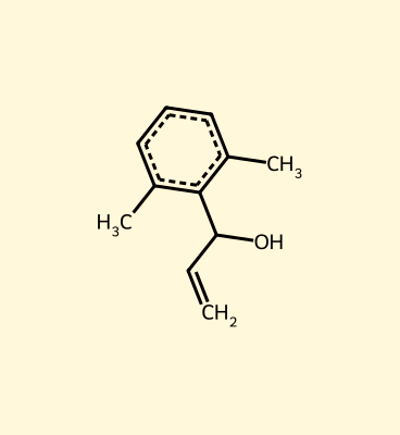 C=CC(O)c1c(C)cccc1C